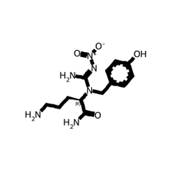 NCCC[C@H](C(N)=O)N(Cc1ccc(O)cc1)C(N)=N[N+](=O)[O-]